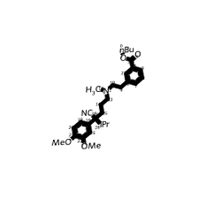 CCCCOC(=O)c1cccc(CCN(C)CCCC(C#N)(c2ccc(OC)c(OC)c2)C(C)C)c1